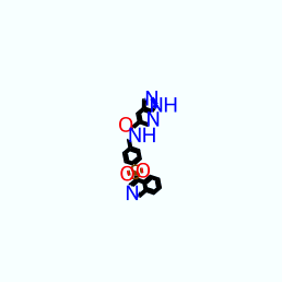 O=C(NCc1ccc(S(=O)(=O)c2cncc3ccccc23)cc1)c1cnc2[nH]ncc2c1